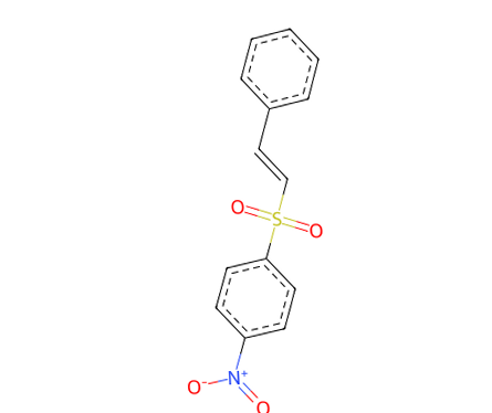 O=[N+]([O-])c1ccc(S(=O)(=O)C=Cc2ccccc2)cc1